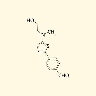 CN(CCO)c1ccc(-c2ccc(C=O)cc2)s1